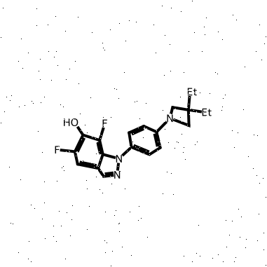 CCC1(CC)CN(c2ccc(-n3ncc4cc(F)c(O)c(F)c43)cc2)C1